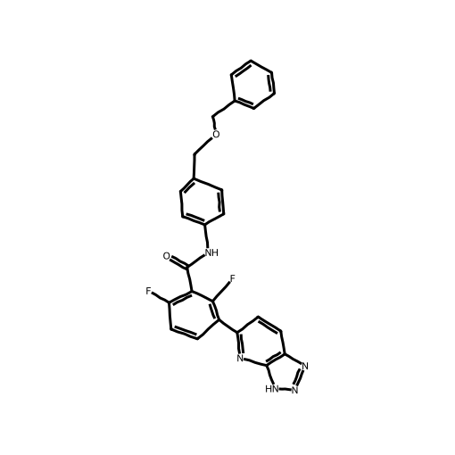 O=C(Nc1ccc(COCc2ccccc2)cc1)c1c(F)ccc(-c2ccc3nn[nH]c3n2)c1F